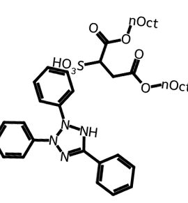 CCCCCCCCOC(=O)CC(C(=O)OCCCCCCCC)S(=O)(=O)O.c1ccc(C2=NN(c3ccccc3)N(c3ccccc3)N2)cc1